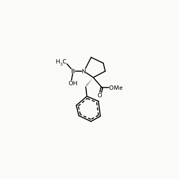 COC(=O)[C@]1(Cc2ccccc2)CCCN1B(C)O